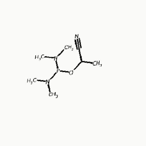 CC(C#N)OP(N(C)C)N(C)C